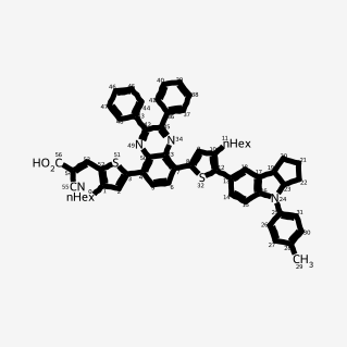 CCCCCCc1cc(-c2ccc(-c3cc(CCCCCC)c(-c4ccc5c(c4)C4CCCC4N5c4ccc(C)cc4)s3)c3nc(-c4ccccc4)c(-c4ccccc4)nc23)sc1/C=C(\C#N)C(=O)O